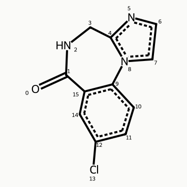 O=C1NCc2nccn2-c2ccc(Cl)cc21